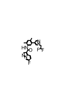 Cc1cc(C)c(-c2cnn(CC(F)F)c2)cc1NC(=O)c1cnn2cc(F)ccc12